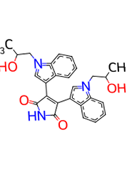 CC(O)Cn1cc(C2=C(c3cn(CC(C)O)c4ccccc34)C(=O)NC2=O)c2ccccc21